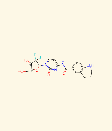 O=C(Nc1ccn(C2O[C@H](CO)[C@@H](O)C2(F)F)c(=O)n1)c1ccc2c(c1)CCCN2